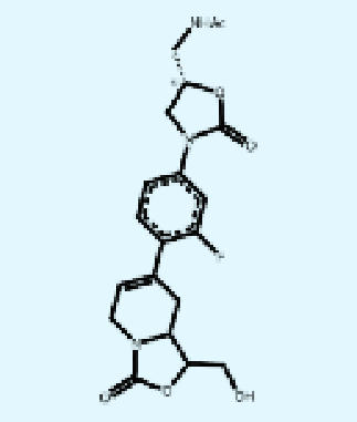 CC(=O)NC[C@H]1CN(c2ccc(C3=CCN4C(=O)OC(CO)C4C3)c(F)c2)C(=O)O1